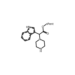 CCCCCOC(=O)C(c1c[nH]c2ccccc12)N1CCNCC1